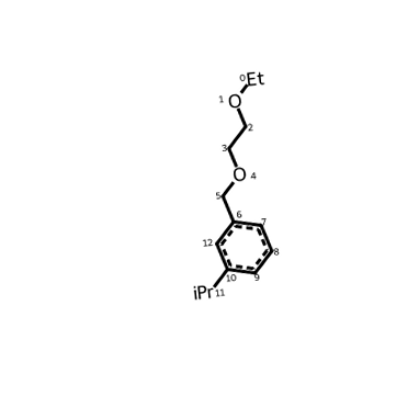 CCOCCOCc1cccc(C(C)C)c1